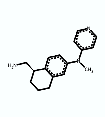 CN(c1ccncc1)c1ccc2c(c1)CCC[C@H]2CN